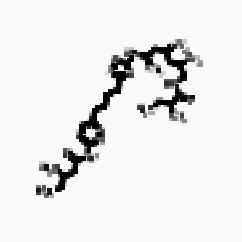 C=C(/C=C(\C)CNC(=O)C(C)CC)CC(=C)Nc1nnc(CCCCc2ccc(NC(=O)C/C(C)=C/C)nn2)s1